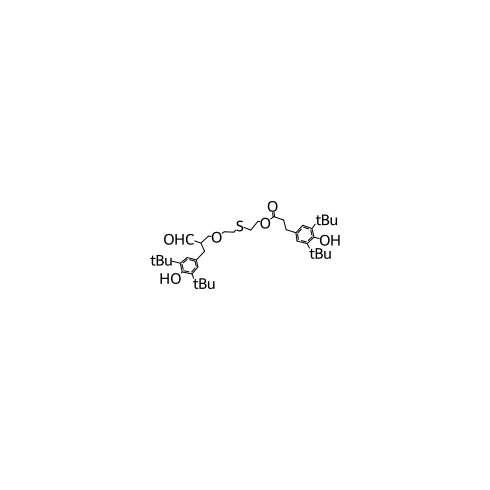 CC(C)(C)c1cc(CCC(=O)OCCSCCOCC(C=O)Cc2cc(C(C)(C)C)c(O)c(C(C)(C)C)c2)cc(C(C)(C)C)c1O